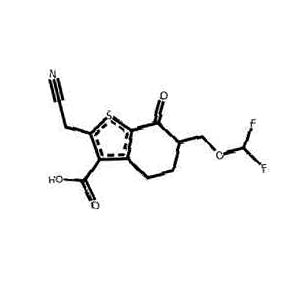 N#CCc1sc2c(c1C(=O)O)CCC(COC(F)F)C2=O